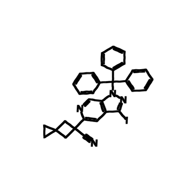 N#CC1(c2cc3c(I)nn(C(c4ccccc4)(c4ccccc4)c4ccccc4)c3cn2)CC2(CC2)C1